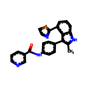 Cc1[nH]c2cccc(-c3nccs3)c2c1-c1ccc(NC(=O)c2cccnc2)cc1